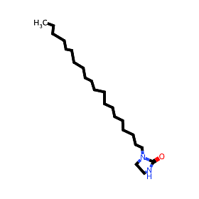 CCCCCCCCCCCCCCCCCCCCN1CCNC1=O